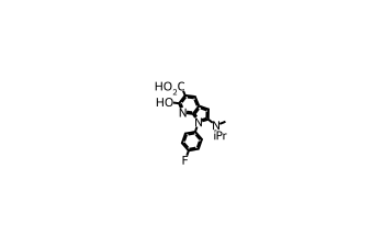 CC(C)N(C)c1cc2cc(C(=O)O)c(O)nc2n1-c1ccc(F)cc1